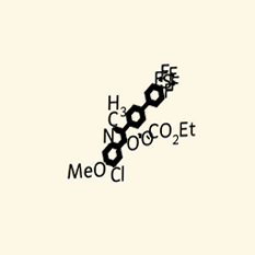 CCOC(=O)OCOc1c(-c2ccc(-c3ccc(S(F)(F)(F)(F)F)cc3)cc2)c(C)nc2cc(OC)c(Cl)cc12